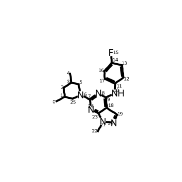 CC1CC(C)CN(c2nc(Nc3ccc(F)cc3)c3cnn(C)c3n2)C1